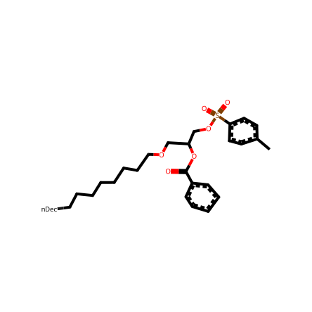 CCCCCCCCCCCCCCCCCCOCC(COS(=O)(=O)c1ccc(C)cc1)OC(=O)c1ccccc1